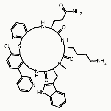 CN1C(=O)[C@H](CCCCN)NC(=O)[C@H](CCC(N)=O)NCc2cccnc2Sc2c(Cl)ccc(-c3cccnc3)c2CNC(=O)[C@@H]1Cc1c[nH]c2ccccc12